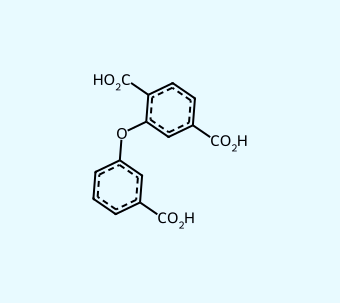 O=C(O)c1cccc(Oc2cc(C(=O)O)ccc2C(=O)O)c1